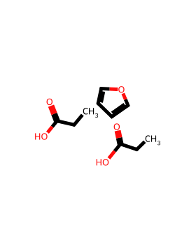 CCC(=O)O.CCC(=O)O.c1ccoc1